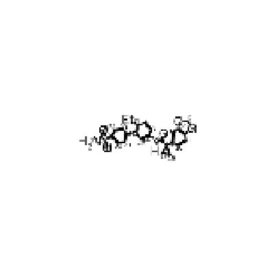 CCc1ccc(NC(=O)C2(c3ccc4c(c3)OCO4)CC2)cc1-c1ccc(S(N)(=O)=O)cc1